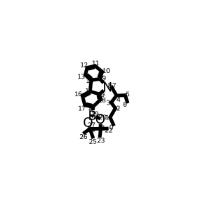 CCCCC(CC)Cn1c2ccccc2c2ccc(B3OC(C)(C)C(C)(C)O3)cc21